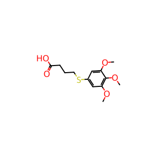 COc1cc(SCCCC(=O)O)cc(OC)c1OC